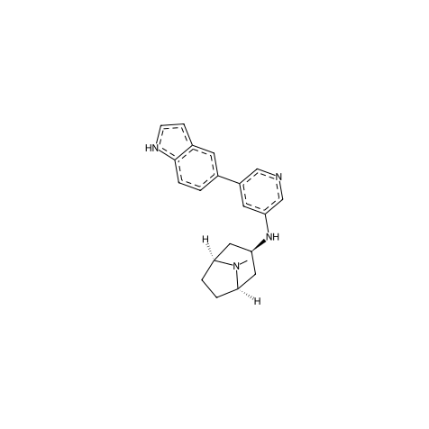 CN1[C@@H]2CC[C@H]1C[C@@H](Nc1cncc(-c3ccc4[nH]ccc4c3)c1)C2